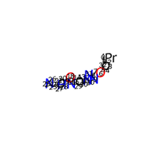 CC(C)c1cccc(OCc2ncn(-c3ccc(NC(=O)c4ccc(CN(C)C)cc4)cc3)n2)c1